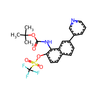 CC(C)(C)OC(=O)Nc1c(OS(=O)(=O)C(F)(F)F)ccc2ccc(-c3cccnc3)cc12